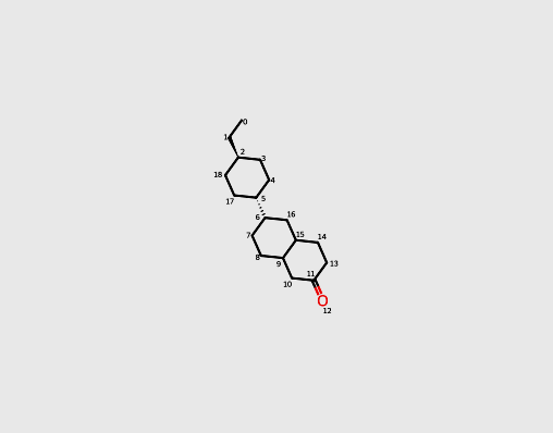 CC[C@H]1CC[C@H](C2CCC3CC(=O)CCC3C2)CC1